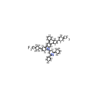 FC(F)(F)c1ccc(-c2ccc3c(c2)c2ccccc2c2cc4c5cc(-c6ccc(C(F)(F)F)cc6)ccc5n(-c5cc(-c6ccccc6)nc(-c6ccccc6)c5)c4cc32)cc1